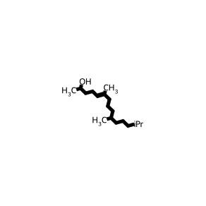 CC(=CCCC(C)O)CCCC(C)CCCC(C)C